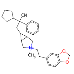 C[N+]1(CCc2ccc3c(c2)OCO3)CC2C(CC(C#N)(c3ccccc3)C3CCCC3)C2C1